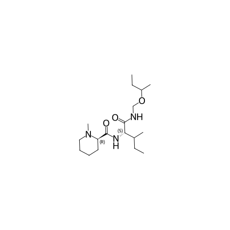 CCC(C)OCNC(=O)[C@@H](NC(=O)[C@H]1CCCCN1C)C(C)CC